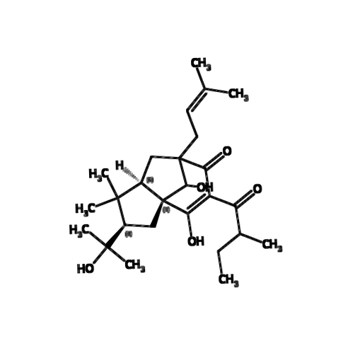 CCC(C)C(=O)C1=C(O)[C@]23C[C@@H](C(C)(C)O)C(C)(C)[C@H]2CC(CC=C(C)C)(C1=O)C3O